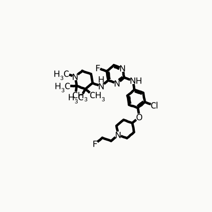 CN1CCC(Nc2nc(Nc3ccc(OC4CCN(CCF)CC4)c(Cl)c3)ncc2F)C(C)(C)C1(C)C